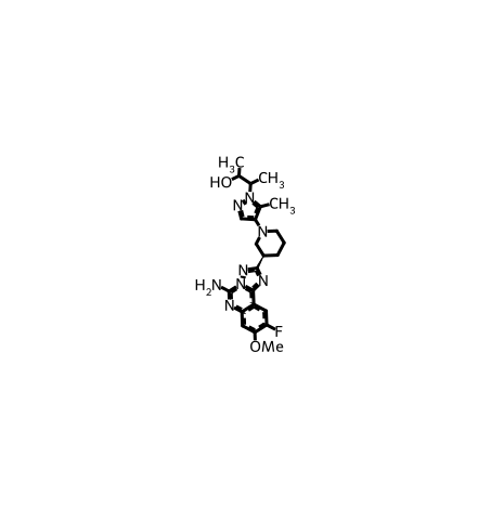 COc1cc2nc(N)n3nc([C@@H]4CCCN(c5cnn(C(C)C(C)O)c5C)C4)nc3c2cc1F